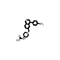 Nc1ccc(-c2cncc3ccc(CN4CCC(NC(=O)O)CC4)cc23)cc1